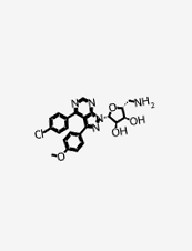 COc1ccc(-c2nn([C@@H]3O[C@H](CN)[C@@H](O)[C@H]3O)c3ncnc(-c4ccc(Cl)cc4)c23)cc1